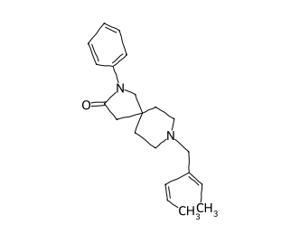 C/C=C\C(=C/C)CN1CCC2(CC1)CC(=O)N(c1ccccc1)C2